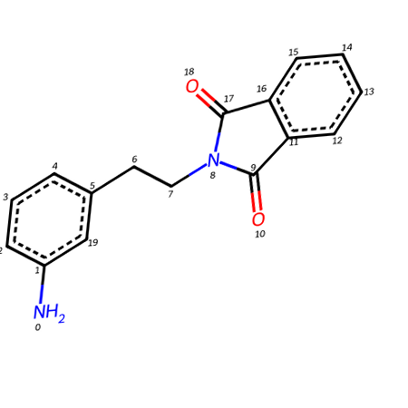 Nc1cccc(CCN2C(=O)c3ccccc3C2=O)c1